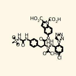 CS(=O)(=O)NC(=O)Nc1ccc(CC(C(=O)Nc2ccc3c(c2)cc(C(=O)O)n3C(=O)O)N(Nc2cc(Cl)ccc2-n2cnnn2)C(=O)C=O)cc1